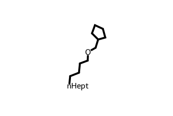 CCCCCCCCCCCOCC1CCCC1